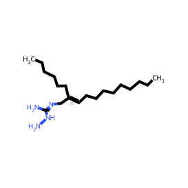 CCCCCCCCC/C=C(\CCCCCC)CN=C(N)NN